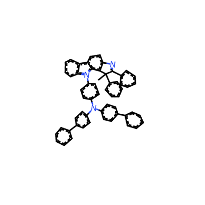 CC1(c2ccccc2)C(c2ccccc2)=Nc2ccc3c4ccccc4n(-c4ccc(N(c5ccc(-c6ccccc6)cc5)c5ccc(-c6ccccc6)cc5)cc4)c3c21